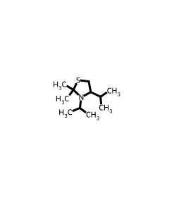 CC(C)C1CSC(C)(C)N1C(C)C